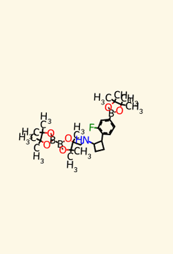 CC1(C)OB(B2OC(C)(C)C(C)(CNC3CCC3c3ccc(B4OC(C)(C)C(C)(C)O4)cc3F)O2)OC1(C)C